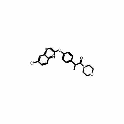 CC(C(=O)N1CCOCC1)c1ccc(Oc2cnc3cc(Cl)ccc3n2)cc1